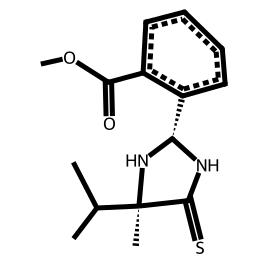 COC(=O)c1ccccc1[C@@H]1NC(=S)[C@@](C)(C(C)C)N1